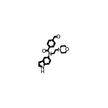 O=Cc1ccc(C(=O)N(CCN2CCOCC2)c2ccc3[nH]ccc3c2)cc1